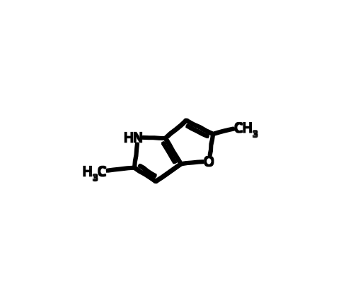 Cc1cc2oc(C)cc2[nH]1